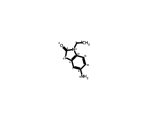 CCn1c(=O)sc2cc(N)ccc21